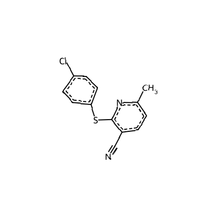 Cc1ccc(C#N)c(Sc2ccc(Cl)cc2)n1